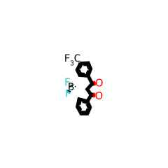 F[B]F.O=C(CC(=O)c1ccc(C(F)(F)F)cc1)c1ccccc1